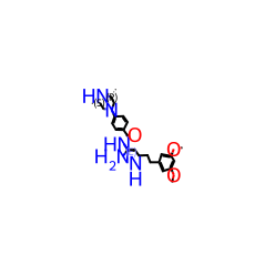 COc1cc(CCC(=N)/C=C(\N)NC(=O)c2ccc(N3C[C@@H](C)N[C@@H](C)C3)cc2)cc(OC)c1